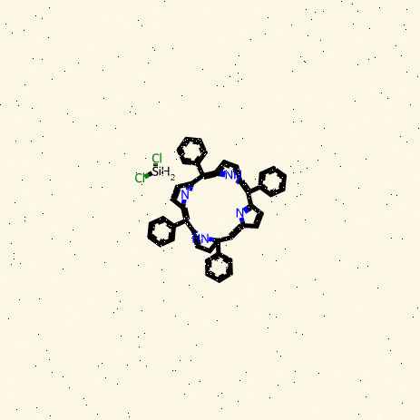 C1=CC2=NC1=CC1(c3ccccc3)CC=C(N1)C(c1ccccc1)=C1C=CC(=N1)C(c1ccccc1)=c1ccc([nH]1)=C2c1ccccc1.Cl[SiH2]Cl